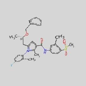 Cc1cc(F)ccc1-n1c(C[C@H](C)OCc2ccccc2)cc(C(=O)Nc2ccc(S(C)(=O)=O)c(C)c2)c1C